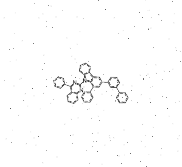 c1ccc(-c2cccc(-c3cc(-c4ccccc4)c4c(c3)c3ccccc3n4-c3nc(-c4ccccc4)c4ccccc4n3)c2)cc1